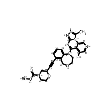 Cc1nnc2nc(N3CCOCc4c(C#CC5CN(C(=O)OC(C)(C)C)CCO5)cccc43)c3c(F)cncc3n12